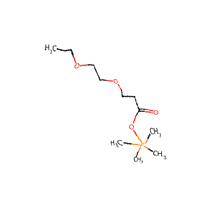 CCOCCOCCC(=O)OP(C)(C)(C)C